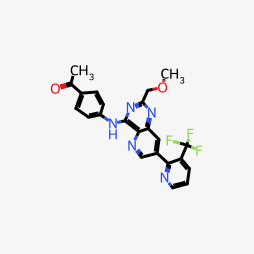 COCc1nc(Nc2ccc(C(C)=O)cc2)c2ncc(-c3ncccc3C(F)(F)F)cc2n1